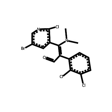 CN(C)C(=C(C=O)c1cccc(Cl)c1Cl)c1cc(Br)cnc1Cl